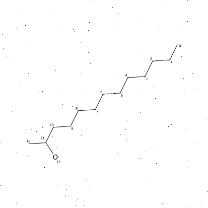 CCCCCCCCCCCC(C)[O]